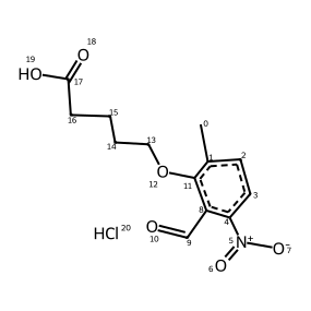 Cc1ccc([N+](=O)[O-])c(C=O)c1OCCCCC(=O)O.Cl